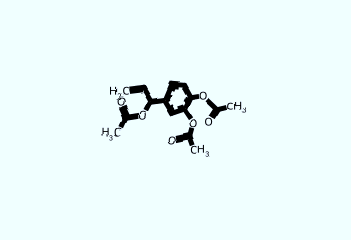 C=CC(OC(C)=O)c1ccc(OC(C)=O)c(OC(C)=O)c1